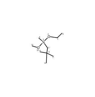 CCO[Si](C)(CC(C)(C)C)OC